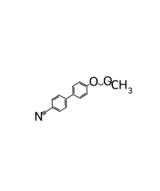 COCOc1ccc(-c2ccc(C#N)cc2)cc1